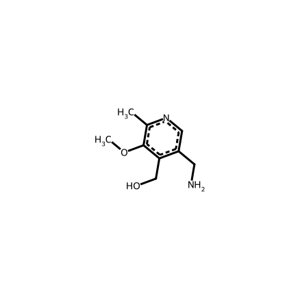 COc1c(C)ncc(CN)c1CO